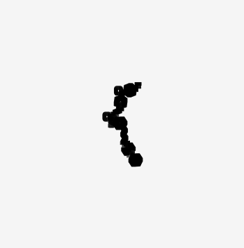 O=C(c1ccc(F)cc1)C1CCN(CCn2c(=O)sc3cc(CCCCN4CCN(c5ccccc5)CC4)ccc32)CC1